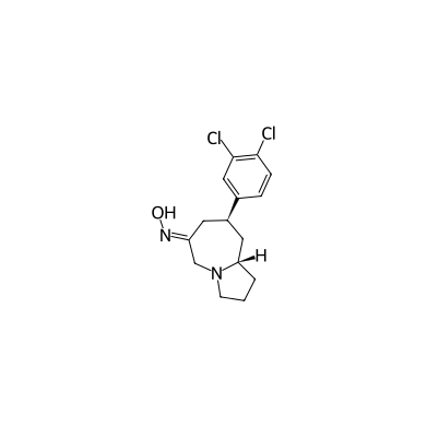 ON=C1C[C@@H](c2ccc(Cl)c(Cl)c2)C[C@@H]2CCCN2C1